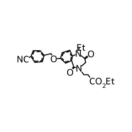 CCOC(=O)CCN1CC(=O)N(CC)c2ccc(OCc3ccc(C#N)cc3)cc2C1=O